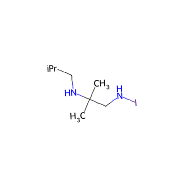 CC(C)CNC(C)(C)CNI